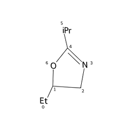 CCC1CN=C(C(C)C)O1